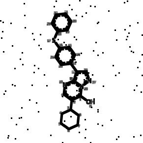 Oc1c(C2CCCCC2)cnc2c(-c3ccc(Sc4ccccc4)cc3)cnn12